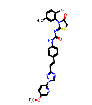 Cc1ccc(C(C)C)c(N2C(=O)CSC2=NC(=O)Nc2ccc(C=Cc3ncn(-c4ccc(OC(F)(F)F)cn4)n3)cc2)c1